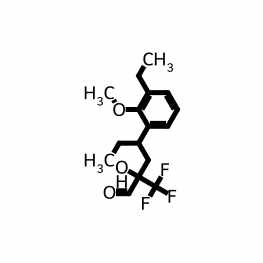 CCc1cccc(C(CC)CC(O)(C=O)C(F)(F)F)c1OC